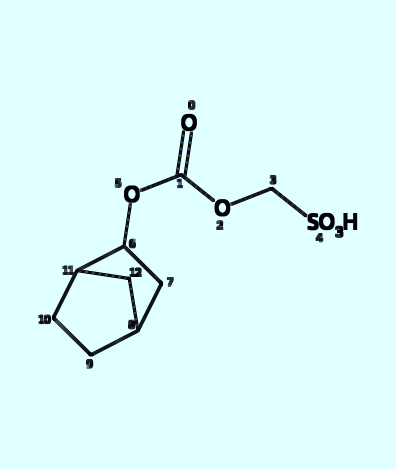 O=C(OCS(=O)(=O)O)OC1CC2CCC1C2